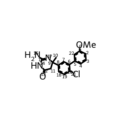 COc1cccc(-c2cc(C3(C)CC(=O)NC(N)=N3)ccc2Cl)c1